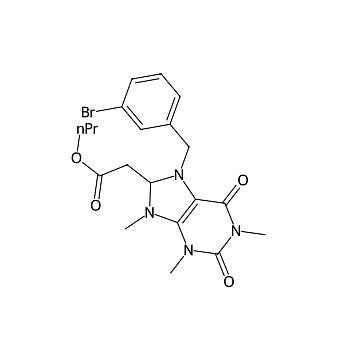 CCCOC(=O)CC1N(C)c2c(c(=O)n(C)c(=O)n2C)N1Cc1cccc(Br)c1